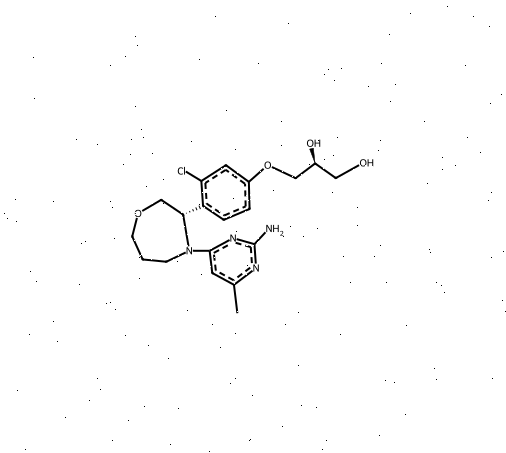 Cc1cc(N2CCCOC[C@@H]2c2ccc(OC[C@@H](O)CO)cc2Cl)nc(N)n1